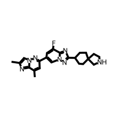 Cc1cn2nc(-c3cc(F)c4nc(C5CCC6(CCNC6)CC5)nn4c3)cc(C)c2n1